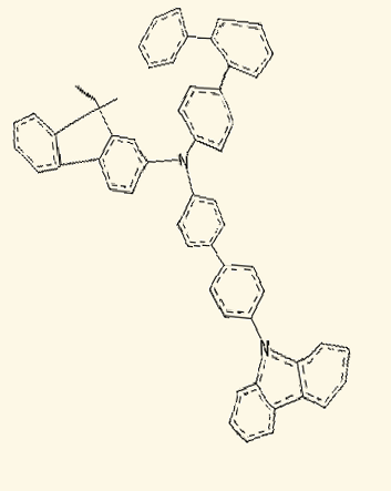 CC1(C)c2ccccc2-c2ccc(N(c3ccc(-c4ccc(-n5c6ccccc6c6ccccc65)cc4)cc3)c3ccc(-c4ccccc4-c4ccccc4)cc3)cc21